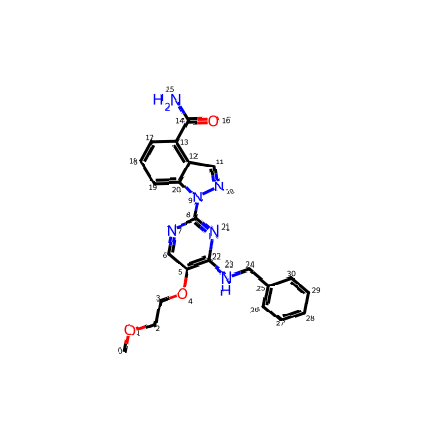 COCCOc1cnc(-n2ncc3c(C(N)=O)cccc32)nc1NCc1ccccc1